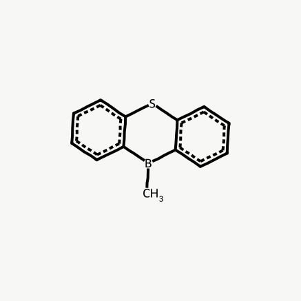 CB1c2ccccc2Sc2ccccc21